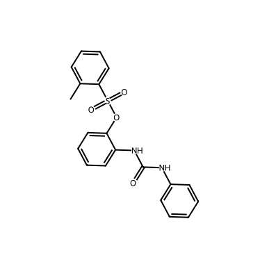 Cc1ccccc1S(=O)(=O)Oc1ccccc1NC(=O)Nc1ccccc1